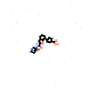 O=C(O)c1ccc(-c2cccc3cc(C(=O)N[C@H]4CN5CCC4CC5)oc23)cc1